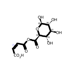 O=C(O)/C=C\C(=O)OC(=O)[C@H]1O[C@@H](O)[C@H](O)[C@@H](O)[C@@H]1O